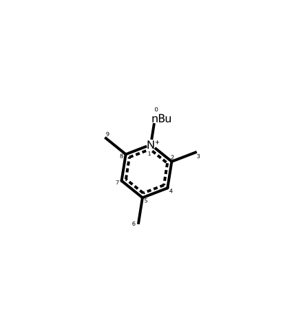 CCCC[n+]1c(C)cc(C)cc1C